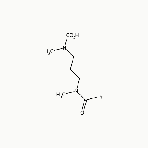 CC(C)C(=O)N(C)CCCN(C)C(=O)O